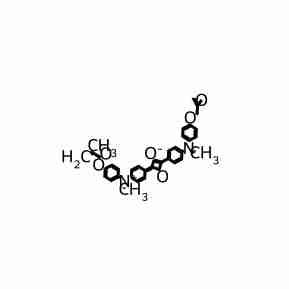 C=C(C)C(=O)Oc1ccc([N+](C)=C2C=CC(=C3C(=O)C(c4ccc(N(C)c5ccc(OCC6CO6)cc5)cc4)=C3[O-])C=C2)cc1